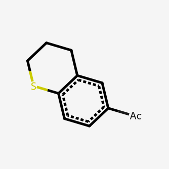 CC(=O)c1ccc2c(c1)CCCS2